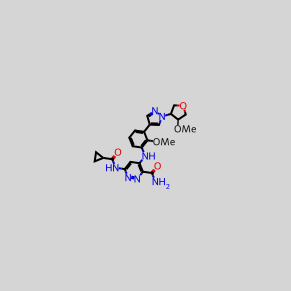 COc1c(Nc2cc(NC(=O)C3CC3)nnc2C(N)=O)cccc1-c1cnn(C2COC[C@H]2OC)c1